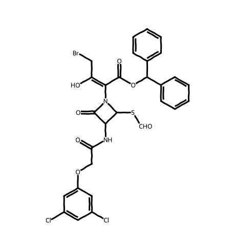 O=CSC1C(NC(=O)COc2cc(Cl)cc(Cl)c2)C(=O)N1C(C(=O)OC(c1ccccc1)c1ccccc1)=C(O)CBr